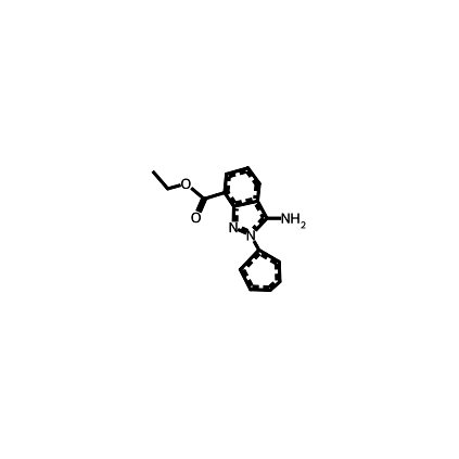 CCOC(=O)c1cccc2c(N)n(-c3ccccc3)nc12